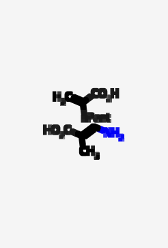 C=C(CCCCC)C(=O)O.CC(=CN)C(=O)O